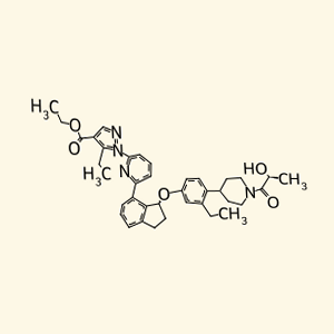 CCOC(=O)c1cnn(-c2cccc(-c3cccc4c3[C@@H](Oc3ccc(C5CCN(C(=O)[C@H](C)O)CC5)c(CC)c3)CC4)n2)c1CC